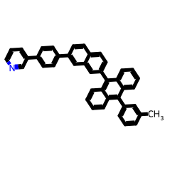 Cc1cccc(-c2c3ccccc3c(-c3ccc4ccc(-c5ccc(-c6cccnc6)cc5)cc4c3)c3ccccc23)c1